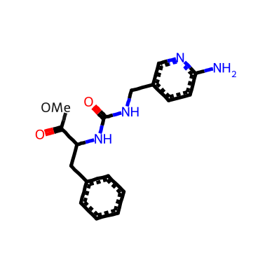 COC(=O)C(Cc1ccccc1)NC(=O)NCc1ccc(N)nc1